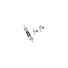 [Ce].[La].[O]=[Zr]